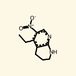 CCc1c([N+](=O)[O-])cnc2c1CCCN2